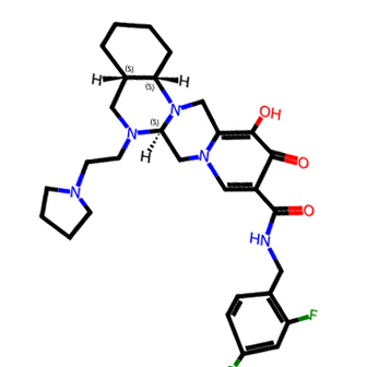 O=C(NCc1ccc(F)cc1F)c1cn2c(c(O)c1=O)CN1[C@H]3CCCC[C@H]3CN(CCN3CCCC3)[C@@H]1C2